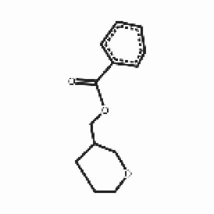 O=C(OCC1CCCOC1)c1ccccc1